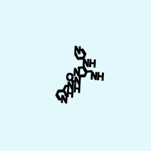 N=Cc1cc(NC(=O)NCc2cccnc2)ncc1Nc1ccncc1